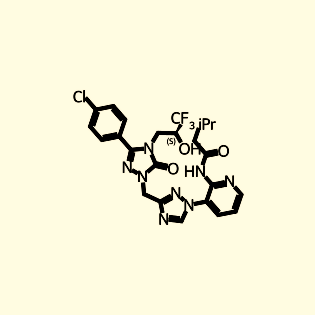 CC(C)CC(=O)Nc1ncccc1-n1cnc(Cn2nc(-c3ccc(Cl)cc3)n(C[C@H](O)C(F)(F)F)c2=O)n1